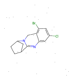 Clc1cc(Br)c2c(c1)N=C1C3CCC(C3)N1C2